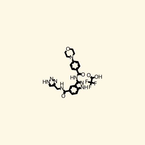 O=C(NCc1c[nH]nn1)c1ccc2[nH]nc(NC(=O)c3ccc(N4CCOCC4)cc3)c2c1.O=C(O)C(F)(F)F